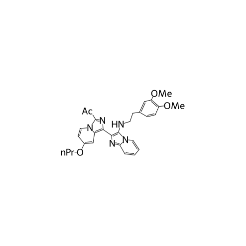 CCCOc1ccn2c(C(C)=O)nc(-c3nc4ccccn4c3NCCc3ccc(OC)c(OC)c3)c2c1